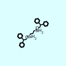 c1ccc(C(CO[SiH2]CCC[SiH2]OCC(c2ccccc2)c2ccccc2)c2ccccc2)cc1